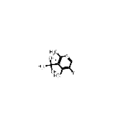 Cc1ncc(F)c(C)c1C(C)(C)C